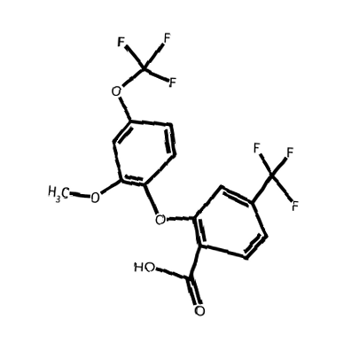 COc1cc(OC(F)(F)F)ccc1Oc1cc(C(F)(F)F)ccc1C(=O)O